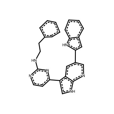 c1ccc(CCNc2nccc(-c3c[nH]c4ncc(-c5cc6ccccc6[nH]5)cc34)n2)cc1